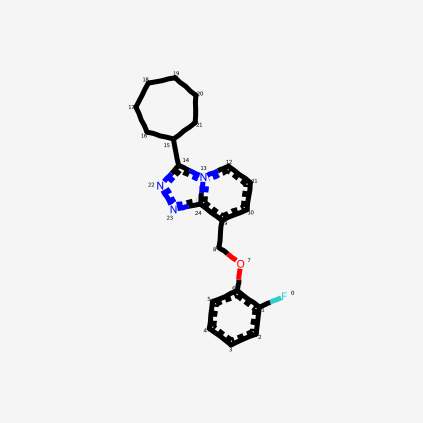 Fc1ccccc1OCc1cccn2c(C3CCCCCC3)nnc12